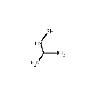 BC(B)NS